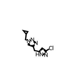 Clc1cc(Cc2cn(CC3CC3)nn2)[nH]n1